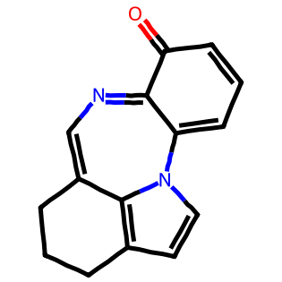 O=c1cccc2n3ccc4c3c(cnc1-2)CCC4